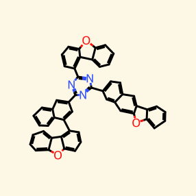 c1ccc2c(-c3cccc4oc5ccccc5c34)cc(-c3nc(-c4ccc5cc6c(cc5c4)oc4ccccc46)nc(-c4cccc5oc6ccccc6c45)n3)cc2c1